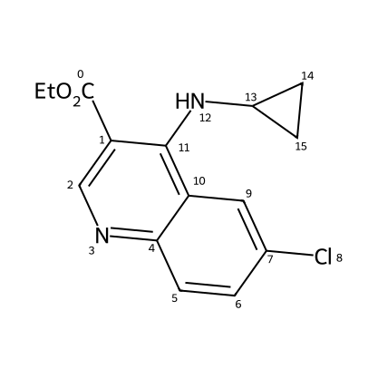 CCOC(=O)c1cnc2ccc(Cl)cc2c1NC1CC1